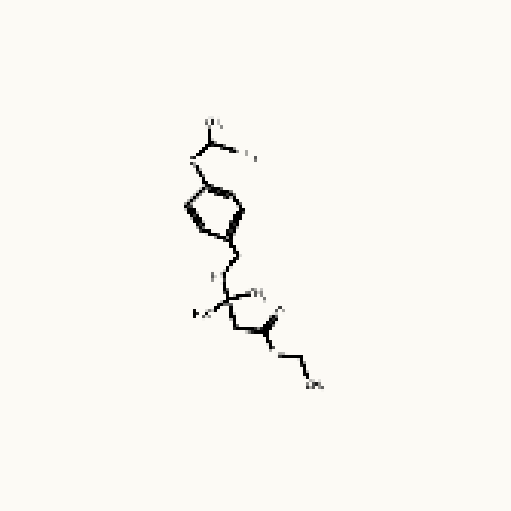 CCOC(=O)CC(C)(C)NCc1ccc(OC(C)C)cc1